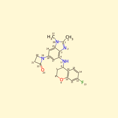 Cc1nc2c(NC3CCOc4cc(F)ccc43)cc(N3CCC3=O)cc2n1C